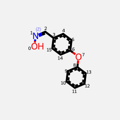 O/N=C\c1ccc(Oc2ccccc2)cc1